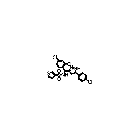 O=S(=O)(NC(C1=NNC(c2ccc(Cl)cc2)C1)c1ccc(Cl)cc1Cl)c1ccsc1